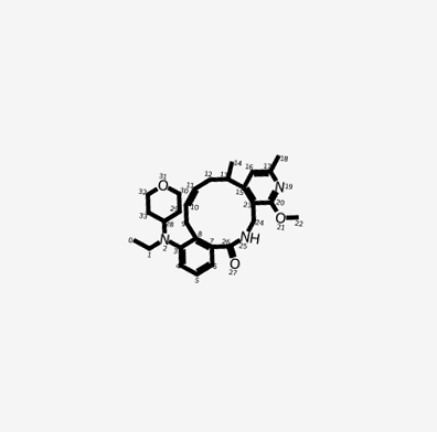 CCN(c1cccc2c1CC=CCC(C)c1cc(C)nc(OC)c1CNC2=O)C1CCOCC1